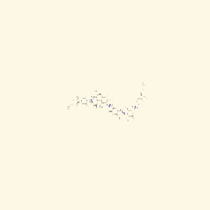 Nc1c(/N=N/c2ccc(S(=O)(=O)CCOS(=O)(=O)O)cc2)cc(S(=O)(=O)O)c(N)c1/N=N/c1cc(/N=N/c2c(S(=O)(=O)O)cc3cc(S(=O)(=O)O)c(/N=N/c4ccc(S(=O)(=O)CCOS(=O)(=O)O)cc4S(=O)(=O)O)c(O)c3c2N)c(S(=O)(=O)O)cc1S(=O)(=O)O